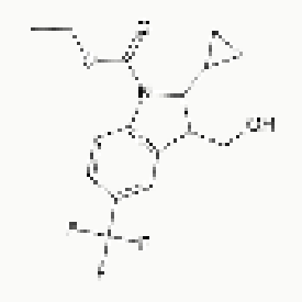 CCOC(=O)N1c2ccc(C(F)(F)F)cc2C(CO)C1C1CC1